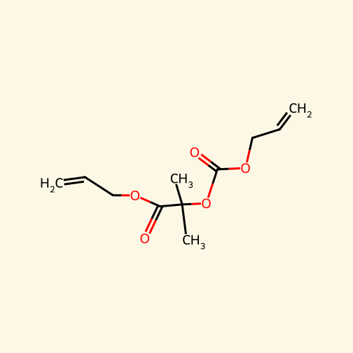 C=CCOC(=O)OC(C)(C)C(=O)OCC=C